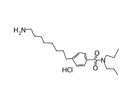 CCCN(CCC)S(=O)(=O)c1ccc(CCCCCCCCN)cc1.Cl